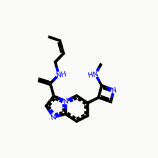 C=C(NC/C=C\C)c1cnc2ccc(C3=CN=C3NC)cn12